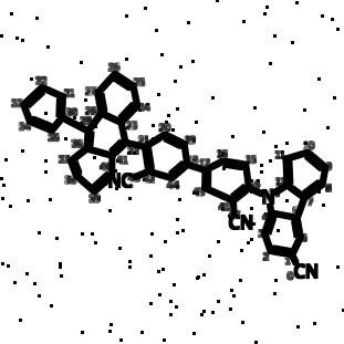 N#Cc1ccc2c(c1)c1ccccc1n2-c1ccc(-c2ccc(-c3c4ccccc4c(-c4ccccc4)c4ccccc34)c(C#N)c2)cc1C#N